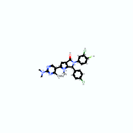 COc1nc(N(C)C)ncc1-c1cc2c(n1C(C)C)C(c1ccc(Cl)cc1)N(c1ccc(F)c(Cl)c1)C2=O